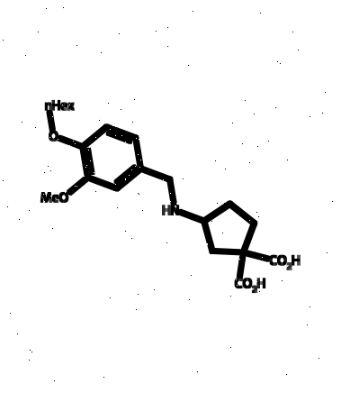 CCCCCCOc1ccc(CNC2CCC(C(=O)O)(C(=O)O)C2)cc1OC